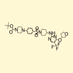 CC(C)(C)OC(=O)N1CCN(c2ccc(S(=O)(=O)N3CCC(Nc4ncc(C(F)(F)F)c(O[C@H]5CCOC5)n4)CC3)cc2)CC1